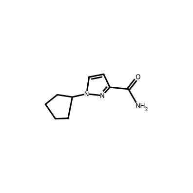 NC(=O)c1ccn(C2CCCC2)n1